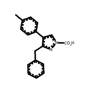 Cc1ccc(-c2cn(C(=O)O)nc2Cc2ccccc2)cc1